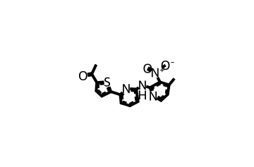 CC(=O)c1ccc(-c2cccc(Nc3nccc(C)c3[N+](=O)[O-])n2)s1